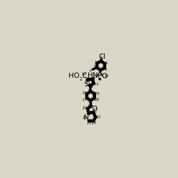 Cc1cc(Cl)ccc1P(C)(=O)Nc1cc(-c2ccc(-c3cc4ncccc4o3)cc2)sc1C(=O)O